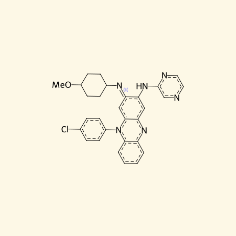 COC1CCC(/N=c2\cc3n(-c4ccc(Cl)cc4)c4ccccc4nc-3cc2Nc2cnccn2)CC1